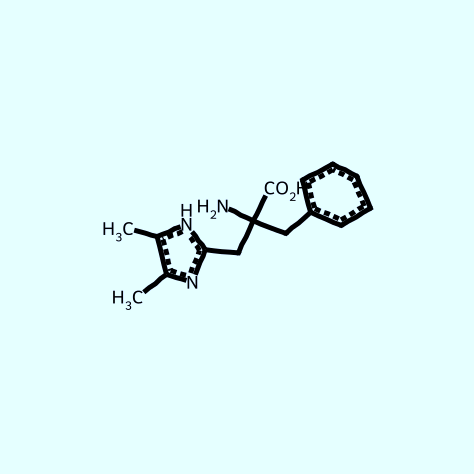 Cc1nc(CC(N)(Cc2ccccc2)C(=O)O)[nH]c1C